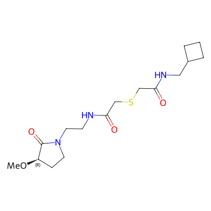 CO[C@@H]1CCN(CCNC(=O)CSCC(=O)NCC2CCC2)C1=O